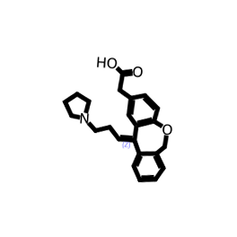 O=C(O)Cc1ccc2c(c1)/C(=C\CCN1CCCC1)c1ccccc1CO2